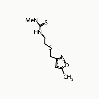 CNC(=S)NCCSCc1cc(C)on1